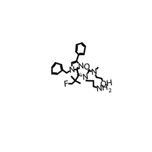 CN(CCO)C(=O)N(CCCN)[C@@H](c1nc(-c2ccccc2)cn1Cc1ccccc1)C(C)(C)CF